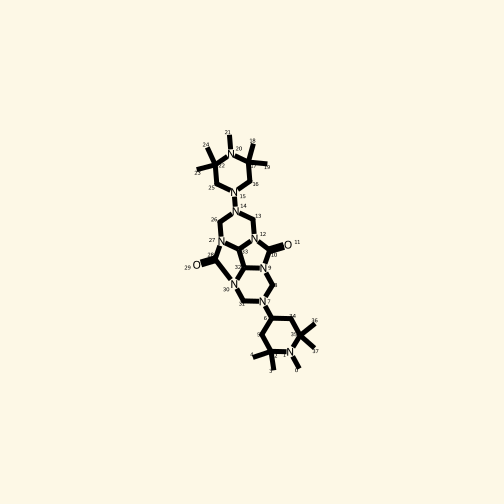 CN1C(C)(C)CC(N2CN3C(=O)N4CN(N5CC(C)(C)N(C)C(C)(C)C5)CN5C(=O)N(C2)C3C45)CC1(C)C